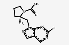 CC(=O)N1CCC[C@@]1(C)Cn1ncc2cnc(Cl)nc21